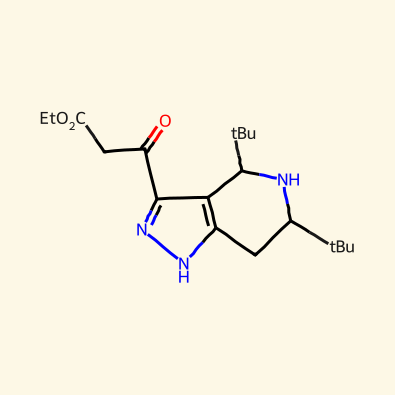 CCOC(=O)CC(=O)c1n[nH]c2c1C(C(C)(C)C)NC(C(C)(C)C)C2